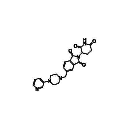 O=C1CCC(N2C(=O)c3ccc(CN4CCN(c5cccnc5)CC4)cc3C2=O)C(=O)N1